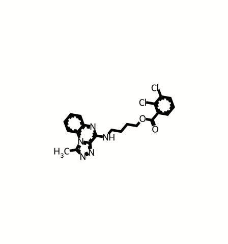 Cc1nnc2c(NCCCCOC(=O)c3cccc(Cl)c3Cl)nc3ccccc3n12